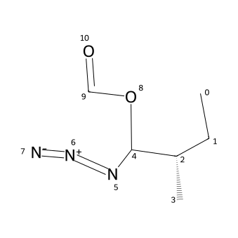 CC[C@H](C)C(N=[N+]=[N-])OC=O